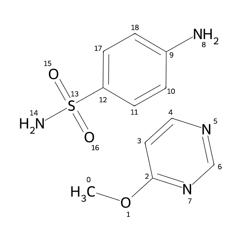 COc1ccncn1.Nc1ccc(S(N)(=O)=O)cc1